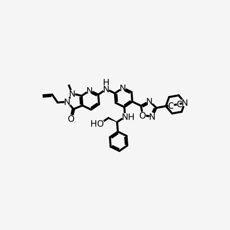 C=CCn1c(=O)c2ccc(Nc3cc(N[C@H](CO)c4ccccc4)c(-c4nc(C56CCN(CC5)CC6)no4)cn3)nc2n1C